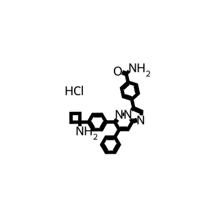 Cl.NC(=O)c1ccc(-c2cnc3cc(-c4ccccc4)c(-c4ccc(C5(N)CCC5)cc4)nn23)cc1